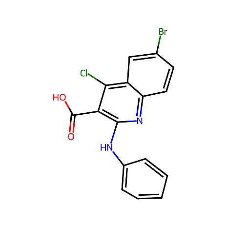 O=C(O)c1c(Nc2ccccc2)nc2ccc(Br)cc2c1Cl